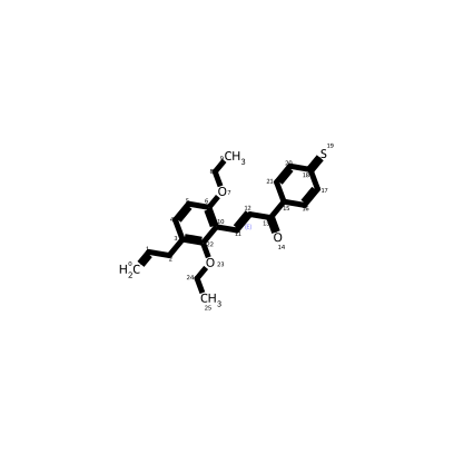 C=CCc1ccc(OCC)c(/C=C/C(=O)C2C=CC(=S)C=C2)c1OCC